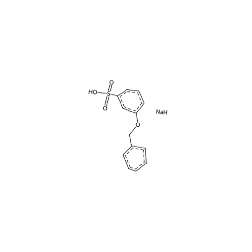 O=S(=O)(O)c1cccc(OCc2ccccc2)c1.[NaH]